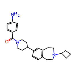 Nc1ccc(C(=O)N2CCC(c3ccc4c(c3)CCN(C3CCC3)CC4)CC2)cc1